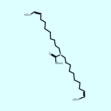 CCCCCCCC/C=C\CCCCCCCCN(CCCCCCCC/C=C\CCCCCCCC)C(=O)CCCCC